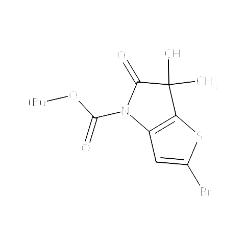 CC(C)(C)OC(=O)N1C(=O)C(C)(C)c2sc(Br)cc21